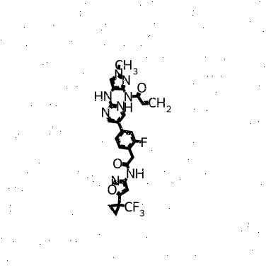 C=CC(=O)Nc1nn(C)cc1Nc1ncc(-c2ccc(CC(=O)Nc3cc(C4(C(F)(F)F)CC4)on3)c(F)c2)cn1